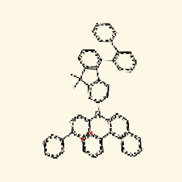 CC1(C)c2cc(N(c3ccc(-c4ccccc4)cc3)c3ccc4ccccc4c3-c3ccccc3)ccc2-c2c(-c3ccccc3-c3ccccc3)cccc21